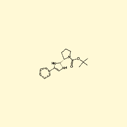 CC(C)(C)OC(=O)N1CCC[C@H]1C1NC=C(c2ccccc2)N1